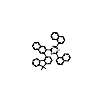 CC1(C)c2ccccc2-c2c(-c3cc4ccccc4cc3-c3nc(-c4cccc5ccccc45)nc(-c4cccc5ccccc45)n3)cccc21